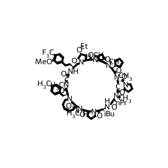 CCC[C@H]1C(=O)N[C@@H]([C@@H](C)CC)C(=O)N2CCC[C@H]2C(=O)N(C)[C@H]2C/C=C\CCN(C2=O)[C@@H](Cc2ccc(C)cc2)C(=O)N(C)CC(=O)N[C@@H](CCc2ccc(C(F)(F)F)c(OC)c2)C(=O)N2C[C@H](OCC)C[C@H]2C(=O)N(C)C2(CCC2)C(=O)N(C)[C@@H](C2CCCC2)C(=O)N(C)[C@H](C(=O)N2CCCC2)CC(=O)N1C